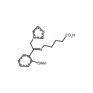 COc1ccccc1C(Cn1ccnc1)=NCCCCC(=O)O